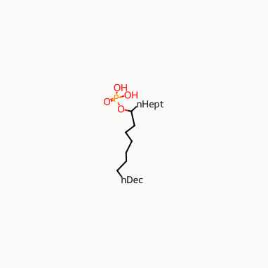 CCCCCCCCCCCCCCCCC(CCCCCCC)OP(=O)(O)O